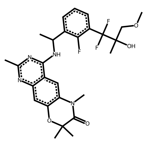 COCC(C)(O)C(F)(F)c1cccc(C(C)Nc2nc(C)nc3cc4c(cc23)N(C)C(=O)C(C)(C)O4)c1F